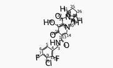 O=C(NCc1ccc(F)c(Cl)c1F)c1cn2c(c(O)c1=O)C(=O)N1[C@H]3CC[C@H](C3)[C@@H]1C2